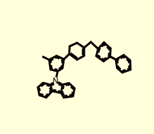 Cc1cc(C2=CC=C(Cc3ccc(-c4ccccc4)cc3)CC2)cc(-n2c3ccccc3c3ccccc32)c1